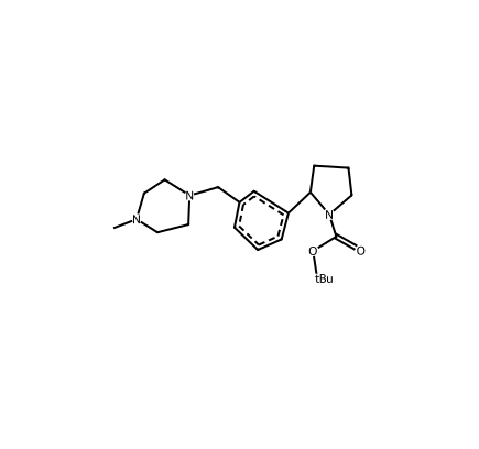 CN1CCN(Cc2cccc(C3CCCN3C(=O)OC(C)(C)C)c2)CC1